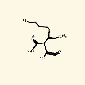 CC(CCCCl)C(C(=O)O)C(=O)O